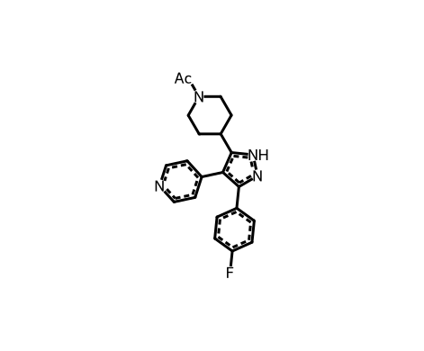 CC(=O)N1CCC(c2[nH]nc(-c3ccc(F)cc3)c2-c2ccncc2)CC1